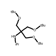 CC(C)NC(COC(C)(C)C)(COC(C)(C)C)COC(C)(C)C